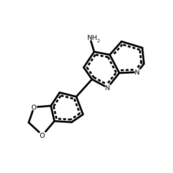 Nc1cc(-c2ccc3c(c2)OCO3)nc2ncccc12